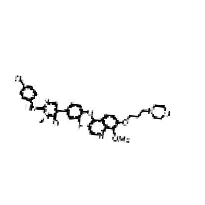 COc1c(OCCCN2CCOCC2)ccc2c(Oc3ccc(-c4cnc(Nc5ccc(Cl)cc5)n(C)c4=O)cc3F)ccnc12